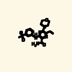 CCc1nc(C(N)=O)c(Nc2cccc(S(C)(=O)=O)c2)nc1N1CCOCC1